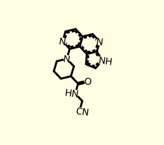 N#CCNC(=O)C1CCCN(c2nccc3cnc4[nH]ccc4c23)C1